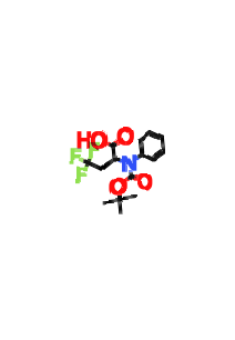 CC(C)(C)OC(=O)N(c1ccccc1)[C@@H](CC(F)(F)F)C(=O)O